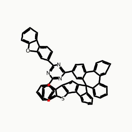 c1ccc(-c2nc(-c3ccc4c(c3)C3(c5ccccc5-c5ccccc5-4)c4ccccc4-c4c3ccc3c4sc4ccccc43)nc(-c3ccc4c(c3)oc3ccccc34)n2)cc1